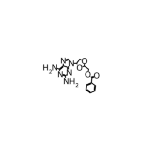 Nc1nc(N)c2ncn(C3COC(COC(=O)c4ccccc4)O3)c2n1